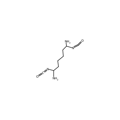 NC(CCCCC(N)N=C=O)N=C=O